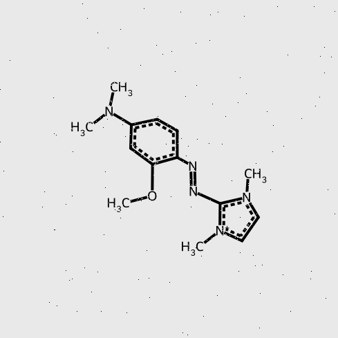 COc1cc(N(C)C)ccc1N=Nc1n(C)cc[n+]1C